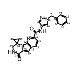 O=C(Nc1cnn(Cc2ccccc2)c1)c1ccc2cc3n(c2n1)C1(CC1)CNC3=O